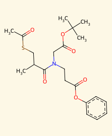 CC(=O)SCC(C)C(=O)N(CCC(=O)Oc1ccccc1)CC(=O)OC(C)(C)C